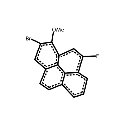 COc1c(Br)cc2ccc3cccc4c(F)cc1c2c34